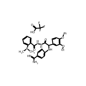 CCOc1cc(C(Nc2ccc(C(=N)N)cc2)C(=O)NNC(=O)c2ccccc2N(C)C)ccc1OC(C)C.O=C(O)C(F)(F)F